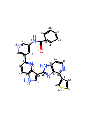 O=C(Nc1cncc(-c2ccc3[nH]cc(-c4nc5c(-c6ccsc6)nccc5[nH]4)c3n2)c1)c1ccccc1